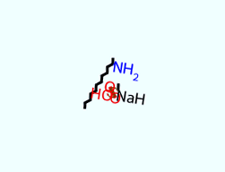 CCCCCCCCCCC(C)N.CCS(=O)(=O)O.[NaH]